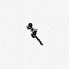 CCCCCCCCCCN1c2cc(C)c(NC(=O)OC3CS(=O)(=O)c4ccccc43)cc2C(C)CC1(C)C